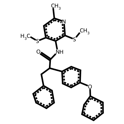 CSc1cc(C)nc(SC)c1NC(=O)C(Cc1ccccc1)c1ccc(Oc2ccccc2)cc1